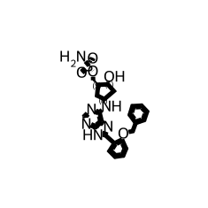 NS(=O)(=O)OC[C@@H]1C[C@@H](Nc2ncnc3[nH]c(-c4ccccc4OCc4ccccc4)nc23)C[C@@H]1O